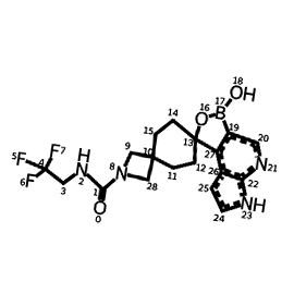 O=C(NCC(F)(F)F)N1CC2(CCC3(CC2)OB(O)c2cnc4[nH]ccc4c23)C1